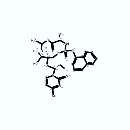 CC(C)OC(=O)[C@H](C)NP(=O)(OC[C@@](F)(O[C@H](CF)n1ccc(N)nc1=O)[C@H](C)O)Oc1cccc2ccccc12